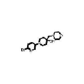 CCc1ccc(N2CCC(O)(CN3CCOCC3)CC2)cn1